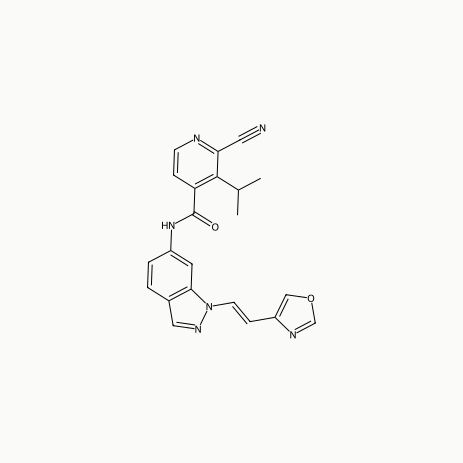 CC(C)c1c(C(=O)Nc2ccc3cnn(/C=C/c4cocn4)c3c2)ccnc1C#N